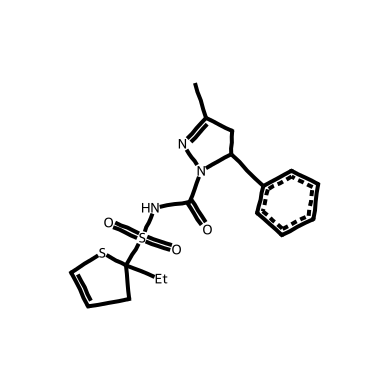 CCC1(S(=O)(=O)NC(=O)N2N=C(C)CC2c2ccccc2)CC=CS1